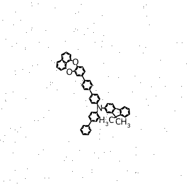 CC1(C)c2ccccc2-c2ccc(N(c3ccc(-c4ccccc4)cc3)c3ccc(-c4ccc(-c5ccc6c(c5)Oc5cccc7cccc(c57)O6)cc4)cc3)cc21